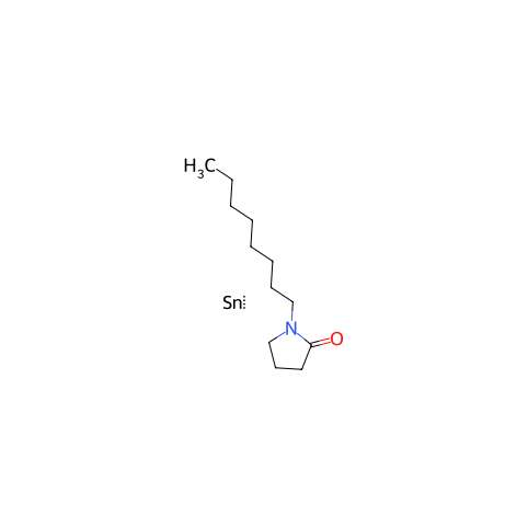 CCCCCCCCN1CCCC1=O.[Sn]